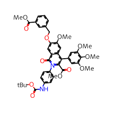 COC(=O)c1cccc(COc2cc3c(=O)n(-c4ccc(NC(=O)OC(C)(C)C)cc4)c(C(=O)OC)c(-c4cc(OC)c(OC)c(OC)c4)c3cc2OC)c1